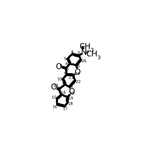 CN(C)c1ccc2c(=O)c3cc4c(=O)c5ccccc5oc4cc3oc2c1